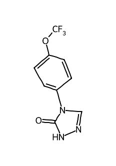 O=c1[nH]ncn1-c1ccc(OC(F)(F)F)cc1